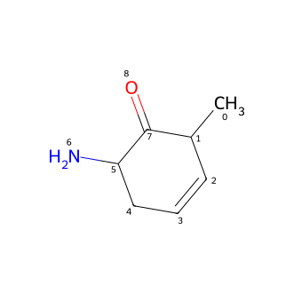 CC1C=CCC(N)C1=O